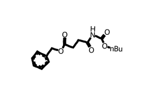 CCCCOC(=O)NC(=O)CCC(=O)OCc1ccccc1